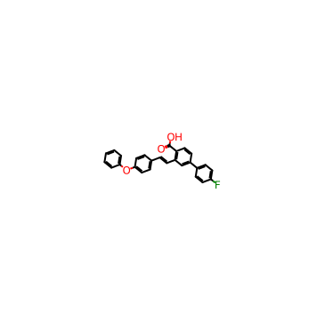 O=C(O)c1ccc(-c2ccc(F)cc2)cc1C=Cc1ccc(Oc2ccccc2)cc1